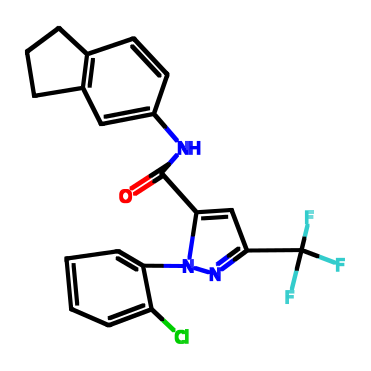 O=C(Nc1ccc2c(c1)CCC2)c1cc(C(F)(F)F)nn1-c1ccccc1Cl